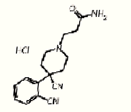 Cl.N#Cc1ccccc1C1(C#N)CCN(CCC(N)=O)CC1